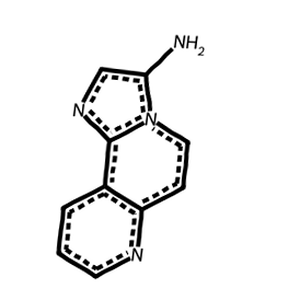 Nc1cnc2c3cccnc3ccn12